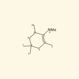 CNC1=C(C)CC(C)(C)CC1C